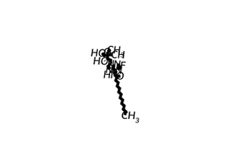 C#CC(CO)(OC)[C@@H](O)Cn1cnc2c(NC(=O)CCCCCCCCCCCCC)nc(F)nc21